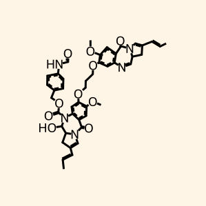 C/C=C/C1=CN2C(=O)c3cc(OC)c(OCCCOc4cc5c(cc4OC)C(=O)N4C=C(/C=C/C)CC4C(O)N5C(=O)OCc4ccc(NC=O)cc4)cc3N=CC2C1